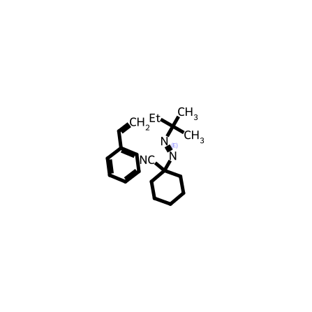 C=Cc1ccccc1.CCC(C)(C)/N=N/C1(C#N)CCCCC1